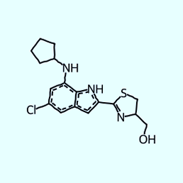 OCC1CSC(c2cc3cc(Cl)cc(NC4CCCC4)c3[nH]2)=N1